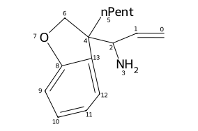 C=CC(N)C1(CCCCC)COc2ccccc21